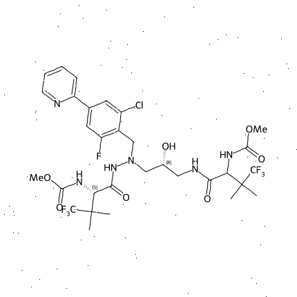 COC(=O)NC(C(=O)NC[C@@H](O)CN(Cc1c(F)cc(-c2ccccn2)cc1Cl)NC(=O)[C@@H](NC(=O)OC)C(C)(C)C(F)(F)F)C(C)(C)C(F)(F)F